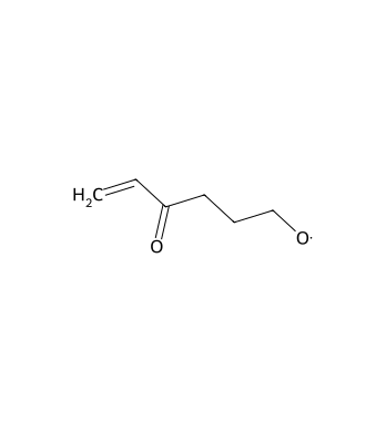 C=CC(=O)CCC[O]